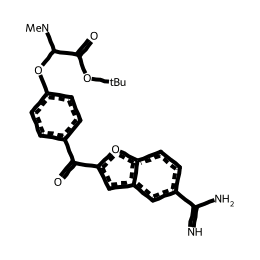 CNC(Oc1ccc(C(=O)c2cc3cc(C(=N)N)ccc3o2)cc1)C(=O)OC(C)(C)C